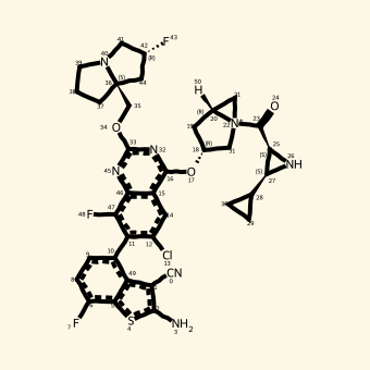 N#Cc1c(N)sc2c(F)ccc(-c3c(Cl)cc4c(O[C@@H]5C[C@@H]6C[N+]6(C(=O)[C@H]6N[C@H]6C6CC6)C5)nc(OC[C@@]56CCCN5C[C@H](F)C6)nc4c3F)c12